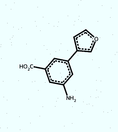 Nc1cc(C(=O)O)cc(-c2ccoc2)c1